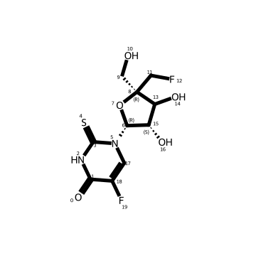 O=c1[nH]c(=S)n([C@@H]2O[C@@](CO)(CF)C(O)[C@@H]2O)cc1F